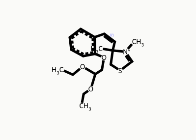 CCOC(COc1ccccc1/C=C\C1(C)CSC=[N+]1C)OCC